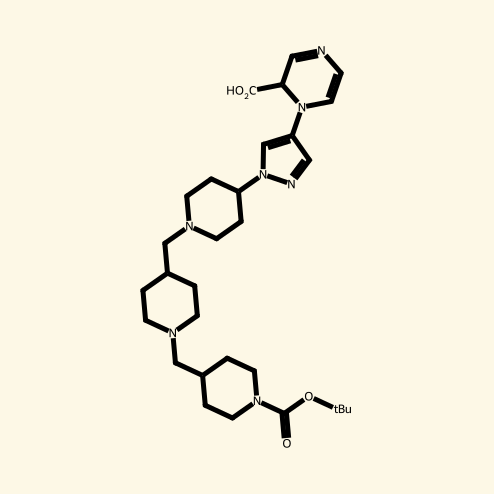 CC(C)(C)OC(=O)N1CCC(CN2CCC(CN3CCC(n4cc(N5C=CN=CC5C(=O)O)cn4)CC3)CC2)CC1